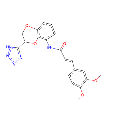 COc1ccc(C=CC(=O)Nc2cccc3c2OC(c2nnn[nH]2)CO3)cc1OC